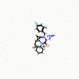 CNC[C@H](C(=O)N1CCC[C@H]2CCCC[C@@H]21)N(Cc1ccc(F)cc1F)C1CC1